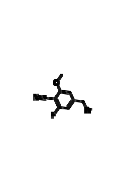 COc1cc(CBr)cc(F)c1C#N